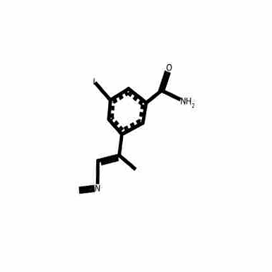 C=N/C=C(\C)c1cc(I)cc(C(N)=O)c1